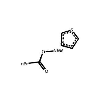 CCCC(=O)ONC.c1ccsc1